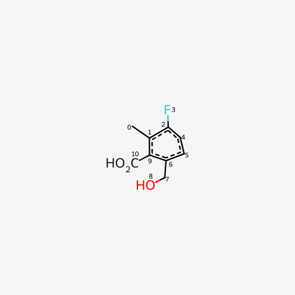 Cc1c(F)ccc(CO)c1C(=O)O